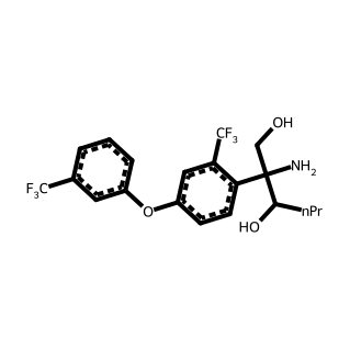 CCCC(O)C(N)(CO)c1ccc(Oc2cccc(C(F)(F)F)c2)cc1C(F)(F)F